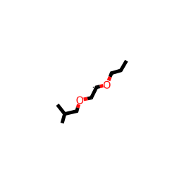 CCCO[CH]COCC(C)C